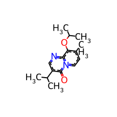 Cc1ccn2c(=O)c(C(C)C)cnc2c1OC(C)C